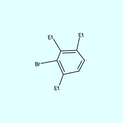 CCc1[c]cc(CC)c(Br)c1CC